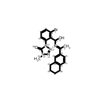 CC(=NC(O)c1c(Br)cccc1-n1nnn(C)c1=O)c1ccc2c(c1)CCCC2